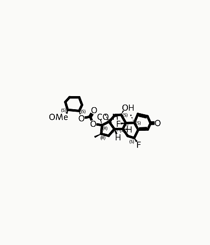 CO[C@H]1CCCC[C@@H]1OC(=O)O[C@]1(C(=O)O)[C@H](C)C[C@H]2[C@@H]3C[C@H](F)C4=CC(=O)C=C[C@]4(C)[C@@]3(F)[C@@H](O)C[C@@]21C